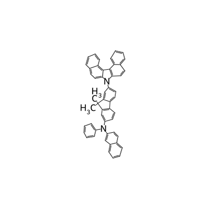 CC1(C)c2cc(N(c3ccccc3)c3ccc4ccccc4c3)ccc2-c2ccc(-n3c4ccc5ccccc5c4c4c5ccccc5ccc43)cc21